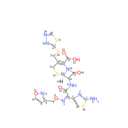 Nc1nc(/C(=N/OCc2ccon2)C(=O)NC2C(=O)N3C(C(=O)O)=C(CSc4nncs4)CS[C@H]23)cs1